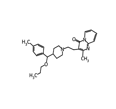 CCCOC(c1ccc(C)cc1)C1CCN(CCc2c(C)nc3ccccn3c2=O)CC1